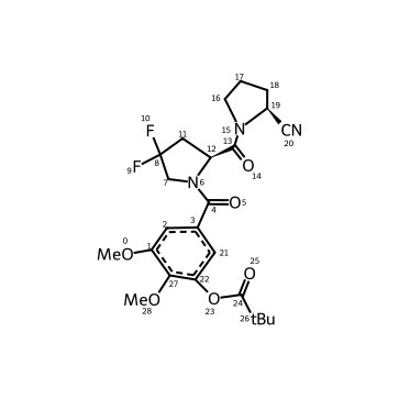 COc1cc(C(=O)N2CC(F)(F)C[C@H]2C(=O)N2CCC[C@H]2C#N)cc(OC(=O)C(C)(C)C)c1OC